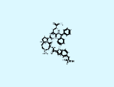 CN1CC[C@H]2CC[C@@H](C(=O)N[C@@H](CCC(N)=O)C(=O)NC(c3cc#ccc3)c3ccccc3)N2C(=O)[C@@H](NC(=O)c2cc3cc(CP(=O)(O)O)ccc3[nH]2)C1